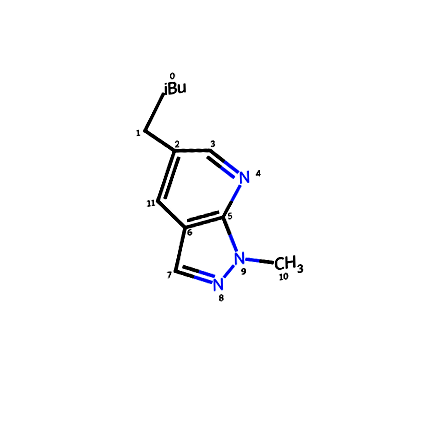 CCC(C)Cc1cnc2c(cnn2C)c1